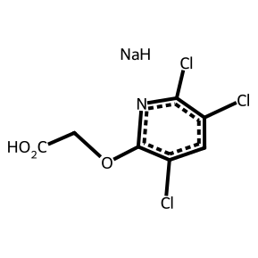 O=C(O)COc1nc(Cl)c(Cl)cc1Cl.[NaH]